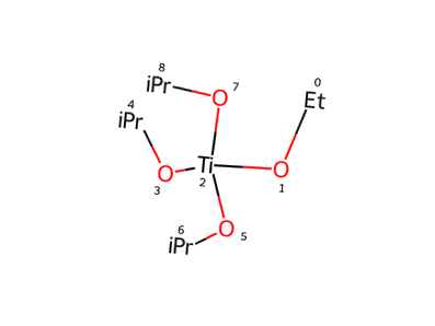 CC[O][Ti]([O]C(C)C)([O]C(C)C)[O]C(C)C